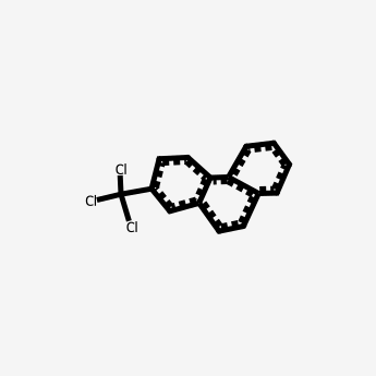 ClC(Cl)(Cl)c1ccc2c(ccc3ccccc32)c1